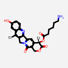 CCc1c2c(nc3ccc(O)cc13)-c1cc3c(c(=O)n1C2)COC(=O)[C@@]3(CC)OC(=O)CCCCCN